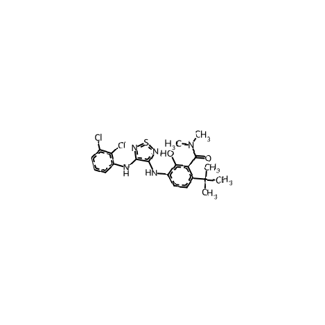 CN(C)C(=O)c1c(C(C)(C)C)ccc(Nc2nsnc2Nc2cccc(Cl)c2Cl)c1O